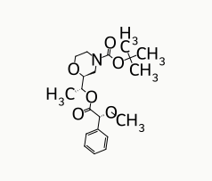 CO[C@@H](C(=O)O[C@H](C)[C@@H]1CN(C(=O)OC(C)(C)C)CCO1)c1ccccc1